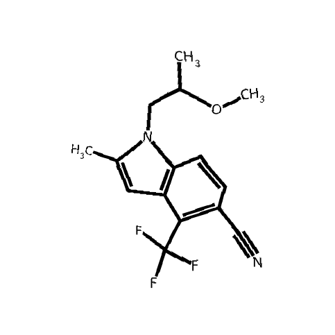 COC(C)Cn1c(C)cc2c(C(F)(F)F)c(C#N)ccc21